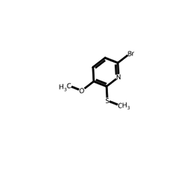 COc1ccc(Br)nc1SC